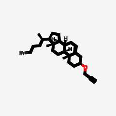 C#CCO[C@H]1CC[C@@]2(C)C(=CC[C@H]3[C@@H]4CC[C@H]([C@H](C)CCCC(C)C)[C@@]4(C)CC[C@@H]32)C1